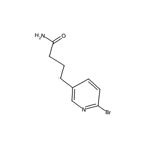 NC(=O)CC[CH]c1ccc(Br)nc1